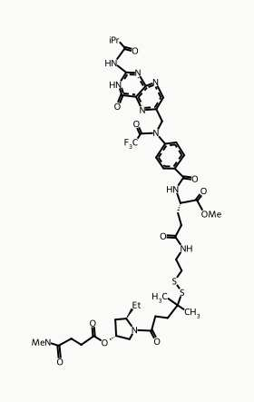 CC[C@@H]1C[C@@H](OC(=O)CCC(=O)NC)CN1C(=O)CCC(C)(C)SSCCNC(=O)CC[C@H](NC(=O)c1ccc(N(Cc2cnc3nc(NC(=O)C(C)C)[nH]c(=O)c3n2)C(=O)C(F)(F)F)cc1)C(=O)OC